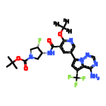 [2H]C([2H])([2H])Oc1ncc(-c2cc(C(F)(F)F)c3c(N)ncnn23)cc1C(=O)N[C@@H]1CN(C(=O)OC(C)(C)C)C[C@@H]1F